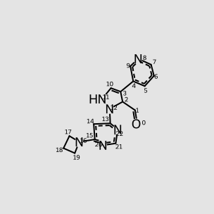 O=CC1C(c2cccnc2)=CNN1c1cc(N2CCC2)ncn1